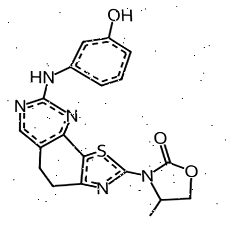 CC1COC(=O)N1c1nc2c(s1)-c1nc(Nc3cccc(O)c3)ncc1CC2